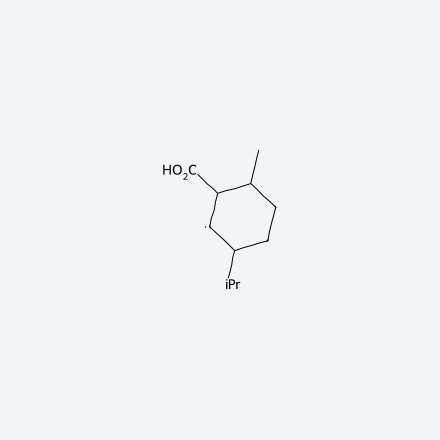 CC(C)C1[CH]C(C(=O)O)C(C)CC1